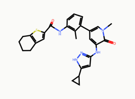 Cc1c(NC(=O)c2cc3c(s2)CCCC3)cccc1-c1cc(Nc2cc(C3CC3)[nH]n2)c(=O)n(C)c1